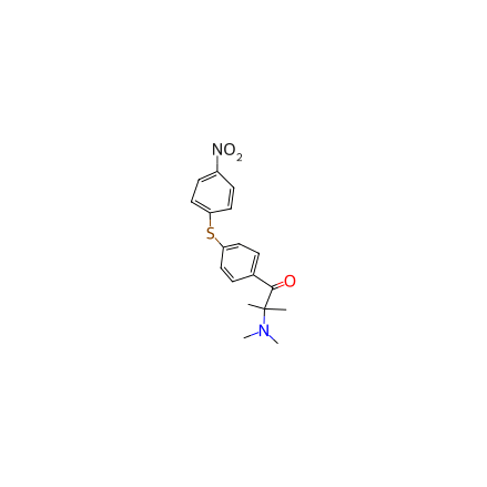 CN(C)C(C)(C)C(=O)c1ccc(Sc2ccc([N+](=O)[O-])cc2)cc1